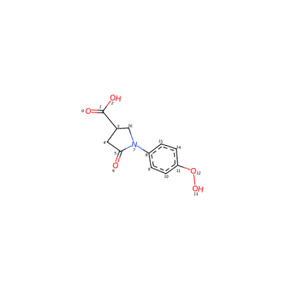 O=C(O)C1CC(=O)N(c2ccc(OO)cc2)C1